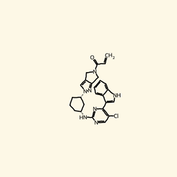 C=CC(=O)N1Cc2cn([C@H]3CCC[C@@H](Nc4ncc(Cl)c(-c5c[nH]c6ccccc56)n4)C3)nc2C1